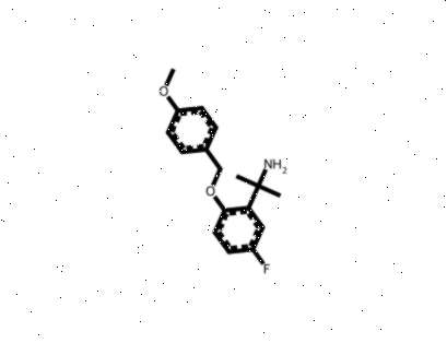 COc1ccc(COc2ccc(F)cc2C(C)(C)N)cc1